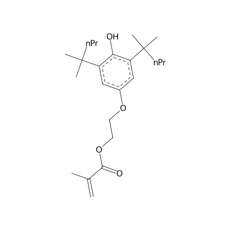 C=C(C)C(=O)OCCOc1cc(C(C)(C)CCC)c(O)c(C(C)(C)CCC)c1